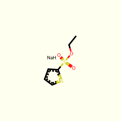 CCOS(=O)(=O)c1cccs1.[NaH]